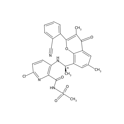 Cc1cc([C@@H](C)Nc2ccc(Cl)nc2C(=O)NS(C)(=O)=O)c2oc(-c3ccccc3C#N)c(C)c(=O)c2c1